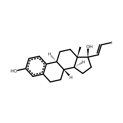 C[C@]12CC[C@@H]3c4ccc(O)cc4CC[C@H]3[C@@H]1CC[C@@]2(O)/C=C/I